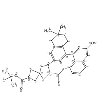 CC1(C)CCc2c(nc(N3CC4(C[C@H]3C(F)F)CN(C(=O)OC(C)(C)C)C4)nc2-c2cc(O)cc3ccccc23)C1